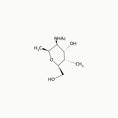 CC(=O)N[C@H]1[C@H](O)[C@H](C)[C@@H](CO)O[C@H]1C